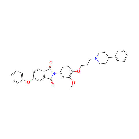 COc1cc(N2C(=O)c3ccc(Oc4ccccc4)cc3C2=O)ccc1OCCCN1CCC(c2ccccc2)CC1